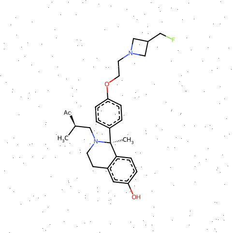 CC(=O)[C@H](C)CN1CCc2cc(O)ccc2[C@]1(C)c1ccc(OCCN2CC(CF)C2)cc1